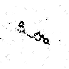 N#CNC(=NCCN1CCC(C(=O)c2ccc(F)cc2)CC1)Oc1ccccc1